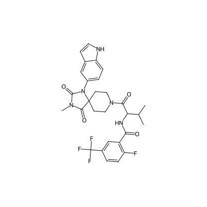 CC(C)C(NC(=O)c1cc(C(F)(F)F)ccc1F)C(=O)N1CCC2(CC1)C(=O)N(C)C(=O)N2c1ccc2[nH]ccc2c1